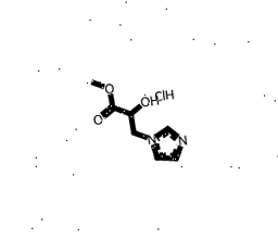 COC(=O)C(O)Cn1ccnc1.Cl